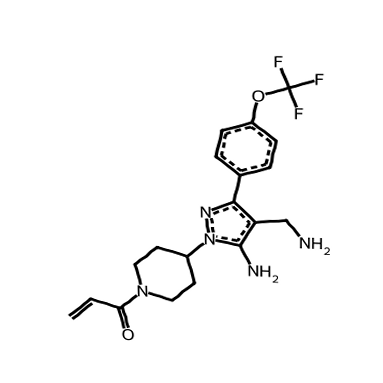 C=CC(=O)N1CCC(n2nc(-c3ccc(OC(F)(F)F)cc3)c(CN)c2N)CC1